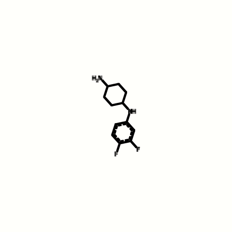 NC1CCC(Nc2ccc(F)c(F)c2)CC1